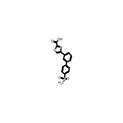 CS(=O)(=O)c1ccc(-c2cccc(-c3coc(C(=O)O)n3)c2)cc1